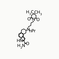 CCCN(CCCCN1C(=O)CC(C)(C)CC1=O)C1CCc2ccc3[nH]c(C(N)=O)cc3c2C1